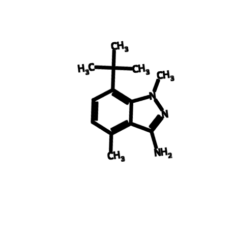 Cc1ccc(C(C)(C)C)c2c1c(N)nn2C